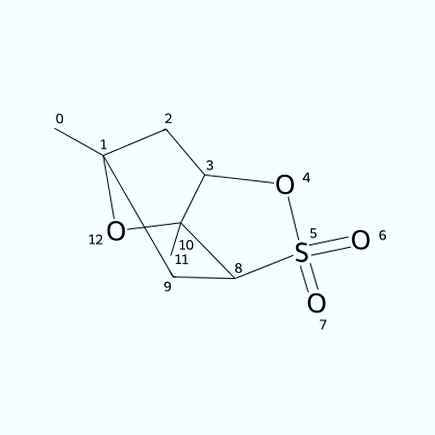 CC12CC3OS(=O)(=O)C(C1)C3(C)O2